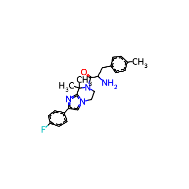 Cc1ccc(CC(N)C(=O)N2CCn3cc(-c4ccc(F)cc4)nc3C2(C)C)cc1